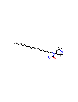 CCCCCCCCCCCCCCCCCCN(C(N)=O)C1CC(C)(C)NC(C)(C)C1